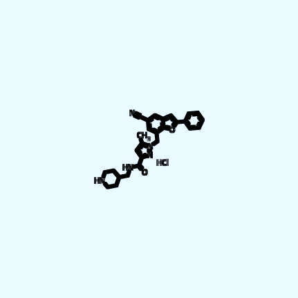 Cc1cc(C(=O)NCC2CCNCC2)nn1Cc1cc(C#N)cc2cc(-c3ccccc3)oc12.Cl